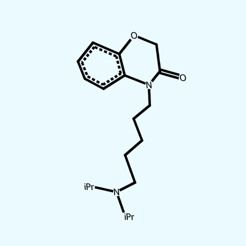 CC(C)N(CCCCCN1C(=O)COc2ccccc21)C(C)C